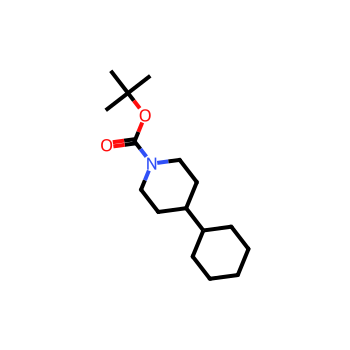 CC(C)(C)OC(=O)N1CCC(C2CCCCC2)CC1